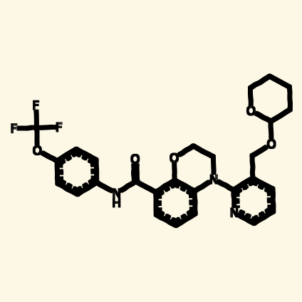 O=C(Nc1ccc(OC(F)(F)F)cc1)c1cccc2c1OCCN2c1ncccc1COC1CCCCO1